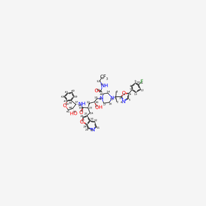 CC(C)(c1ncc(-c2ccc(F)cc2)o1)N1CCN(C[C@@H](O)C[C@@H](Cc2coc3cnccc23)C(=O)N[C@H]2c3ccccc3OC[C@H]2O)[C@H](C(=O)NCC(F)(F)F)C1